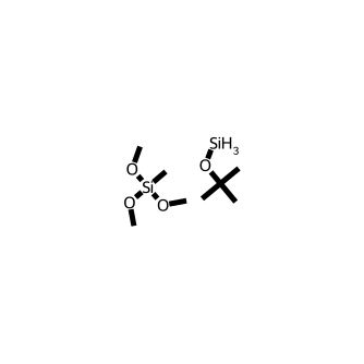 CC(C)(C)O[SiH3].CO[Si](C)(OC)OC